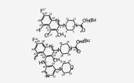 Cc1c(N2CCN(C(=O)OC(C)(C)C)CC2)nc2cc(F)cc(F)c2c1Cl.Cc1c(N2CCN(C(=O)OC(C)(C)C)CC2)nc2cc(F)cc(F)c2c1Nc1cncc(N2CCOCC2)c1